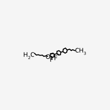 C=CCCCCCCOc1ccc(C2=CCC(C3CCC(CCCCC)CC3)CC2)c(F)c1F